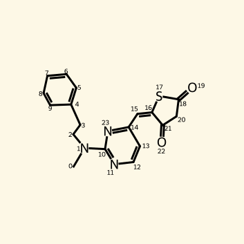 CN(CCc1ccccc1)c1nccc(C=C2SC(=O)CC2=O)n1